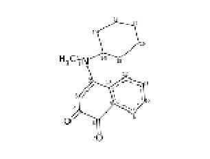 CN(C1=CC(=O)C(=O)c2ccccc21)C1CCCCC1